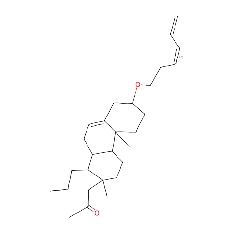 C=C/C=C\CCOC1CCC2(C)C(=CCC3C(CCC)C(C)(CC(C)=O)CCC32)C1